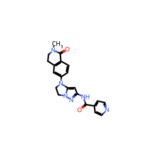 CN1CCc2cc(N3CCn4nc(NC(=O)c5ccncc5)cc43)ccc2C1=O